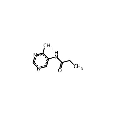 CCC(=O)Nc1cncnc1C